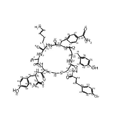 CC(C)C1NC(=O)[C@H](CCCCN)NC(=O)[C@@H](Cc2ccc(C(N)=O)cc2)NC(=O)[C@H](Cc2ccc(O)cc2)NC(=O)[C@H](NC(=O)CCc2ccc(Cl)cc2)CSSC[C@@H](C(=O)N[C@H](Cc2ccc(O)cc2)C(N)=O)NC1=O